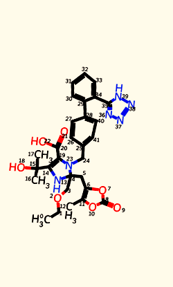 CCOCC1(Cc2oc(=O)oc2C)NC(C(C)(C)O)=C(C(=O)O)N1Cc1ccc(-c2ccccc2-c2nnn[nH]2)cc1